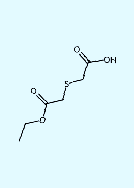 CCOC(=O)CSCC(=O)O